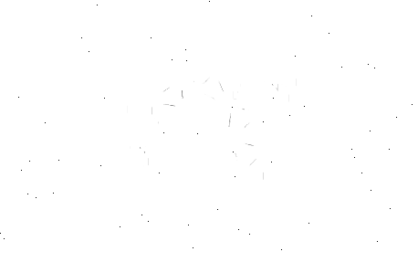 CB(OCCN(C)C)c1ccc(Oc2ccc(B(OCCN(C)C)c3ccc(-c4ccc(C)cc4)cc3)cc2)cc1